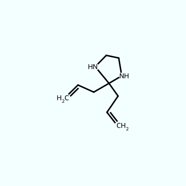 C=CCC1(CC=C)NCCN1